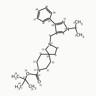 CC(C)n1cc(CN2CCC3(CCN(C(=O)OC(C)(C)C)CC3)C2)c(-c2ccccc2)n1